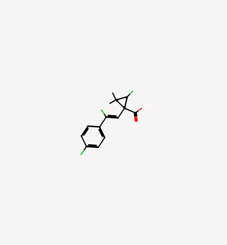 CC1(C)C(Cl)C1(/C=C(\Cl)c1ccc(Cl)cc1)C(=O)O